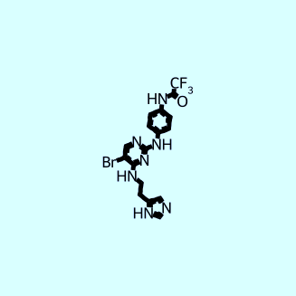 O=C(Nc1ccc(Nc2ncc(Br)c(NCCc3cnc[nH]3)n2)cc1)C(F)(F)F